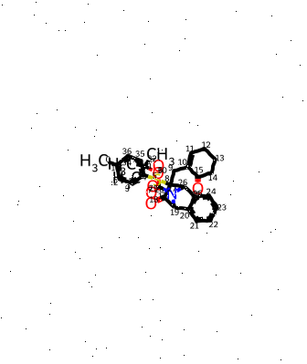 Cc1ccc(S(=O)(=O)C2(CC3=CCCCC3=O)C(=O)C3c4ccccc4C2N3C(=O)OC(C)(C)C)cc1